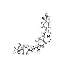 CCN1CC(c2ccc(C(F)(F)F)cc2)CC1c1ccc(C(=O)NCc2ccc(S(=O)(=O)CC)cc2)cc1